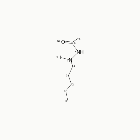 CCCCCN(I)NC(C)=O